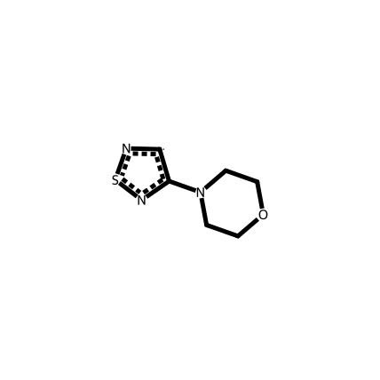 [c]1nsnc1N1CCOCC1